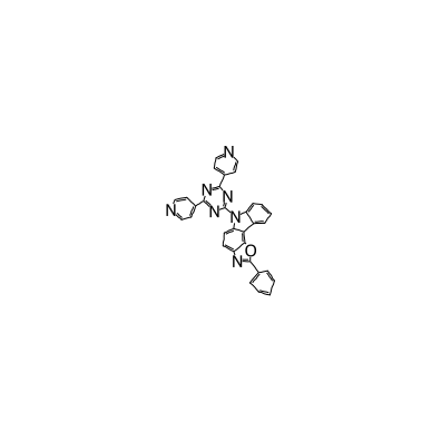 c1ccc(-c2nc3ccc4c(c5ccccc5n4-c4nc(-c5ccncc5)nc(-c5ccncc5)n4)c3o2)cc1